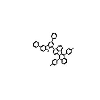 Cc1ccc(-c2c3c(c(-c4ccc(C)cc4)c4ccccc24)-c2ccc(-c4cc(-c5ccccc5)cc5c4sc4ccc(-c6ccccc6)cc45)c4cccc-3c24)cc1